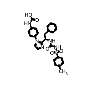 Cc1ccc(S(=O)(=O)NC(=O)NC(Cc2ccccc2)c2nccn2-c2ccc(NC(=O)O)cc2)cc1